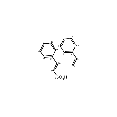 C=Cc1ccccn1.O=S(=O)(O)C=Cc1ccccc1